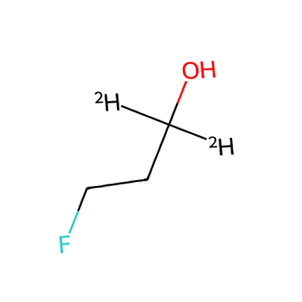 [2H]C([2H])(O)CCF